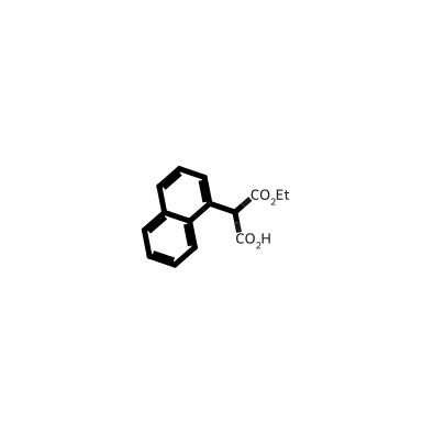 CCOC(=O)C(C(=O)O)c1cccc2ccccc12